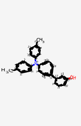 Cc1ccc(N(c2ccc(C)cc2)c2ccc(-c3cccc(O)c3)cc2)cc1